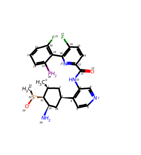 C[C@H]1C[C@@H](c2ccncc2NC(=O)c2ccc(F)c(-c3c(F)cccc3P)n2)C[C@@H](N)[C@H]1[S+](C)[O-]